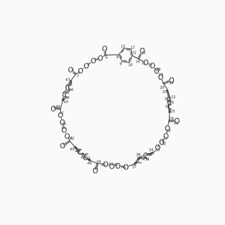 O=C1OOOOC(=O)c2ccc(cc2)C(=O)OOOOC(=O)c2ccc(cc2)C(=O)OOOOc2ccc(cc2)OOOOC(=O)c2ccc(cc2)C(=O)OOOOC(=O)c2ccc1cc2